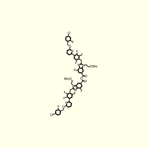 COCCn1c(Cc2c(F)cc(-c3cccc(OCc4ccc(Cl)cc4F)n3)c(F)c2F)nc2c(F)cc(C(=O)OC(=O)c3cc(F)c4nc(Cc5c(F)cc(-c6cccc(OCc7ccc(Cl)cc7F)n6)c(F)c5F)n(CCOC)c4c3)cc21